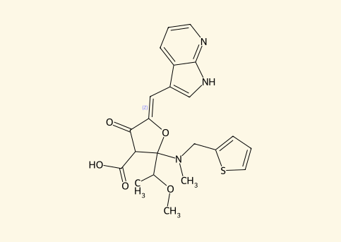 COC(C)C1(N(C)Cc2cccs2)O/C(=C\c2c[nH]c3ncccc23)C(=O)C1C(=O)O